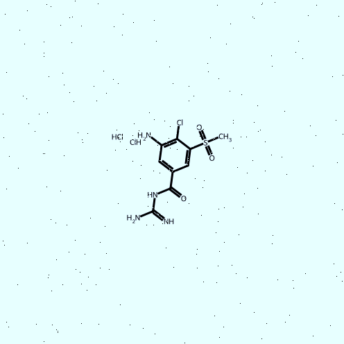 CS(=O)(=O)c1cc(C(=O)NC(=N)N)cc(N)c1Cl.Cl.Cl